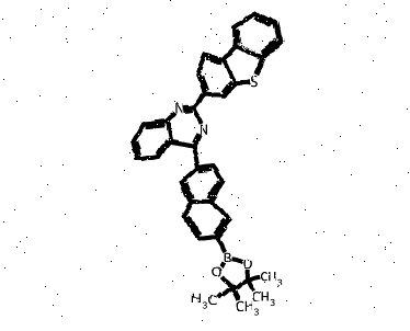 CC1(C)OB(c2ccc3cc(-c4nc(-c5ccc6c(c5)sc5ccccc56)nc5ccccc45)ccc3c2)OC1(C)C